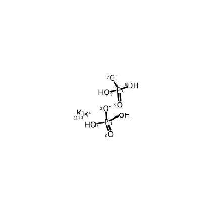 O=P([O-])(O)O.O=P([O-])(O)O.[K+].[K+]